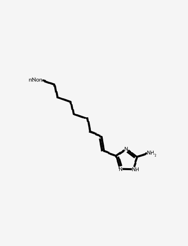 CCCCCCCCCCCCCCC/C=C/c1n[nH]c(N)n1